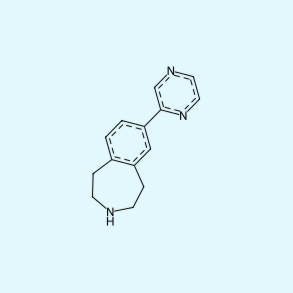 c1cnc(-c2ccc3c(c2)CCNCC3)cn1